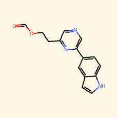 O=COCCc1cncc(-c2ccc3[nH]ccc3c2)n1